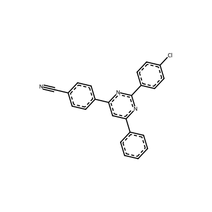 N#Cc1ccc(-c2cc(-c3ccccc3)nc(-c3ccc(Cl)cc3)n2)cc1